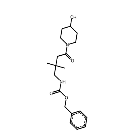 CC(C)(CNC(=O)OCc1ccccc1)CC(=O)N1CCC(O)CC1